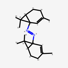 CC1=CC2(N=NC34C=C(C)CCC3C4(C)C)C(CC1)C2(C)C